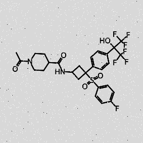 CC(=O)N1CCC(C(=O)NC2CC(c3ccc(C(O)(C(F)(F)F)C(F)(F)F)cc3)(S(=O)(=O)c3ccc(F)cc3)C2)CC1